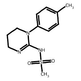 Cc1ccc(N2CCCN=C2NS(C)(=O)=O)cc1